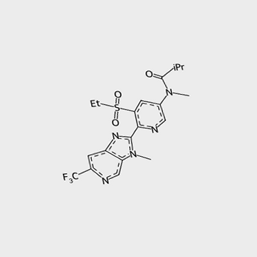 CCS(=O)(=O)c1cc(N(C)C(=O)C(C)C)cnc1-c1nc2cc(C(F)(F)F)ncc2n1C